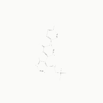 O=c1c2sc3ncnc(NCC(F)(F)F)c3c2ncn1-c1ccc(Cl)cc1